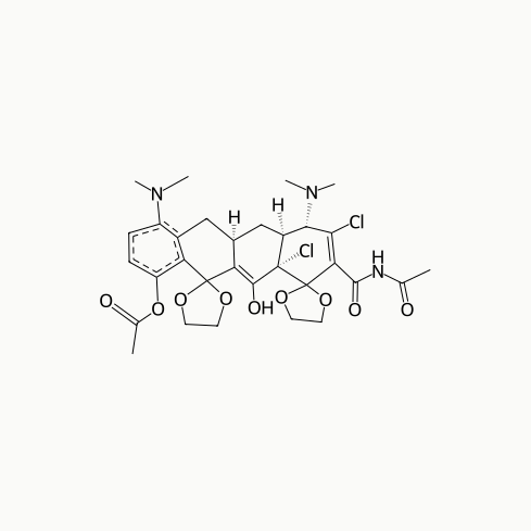 CC(=O)NC(=O)C1=C(Cl)[C@@H](N(C)C)[C@@H]2C[C@@H]3Cc4c(N(C)C)ccc(OC(C)=O)c4C4(OCCO4)C3=C(O)[C@]2(Cl)C12OCCO2